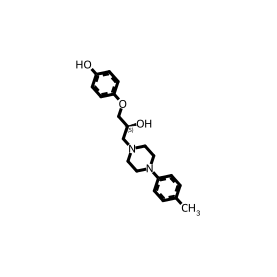 Cc1ccc(N2CCN(C[C@H](O)COc3ccc(O)cc3)CC2)cc1